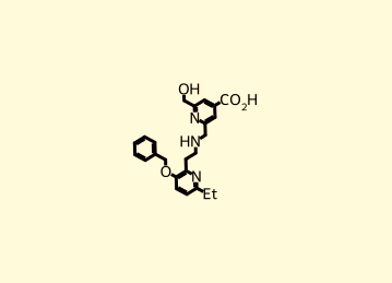 CCc1ccc(OCc2ccccc2)c(CCNCc2cc(C(=O)O)cc(CO)n2)n1